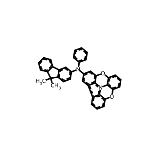 CC1(C)c2ccccc2-c2cc(N(c3ccccc3)c3cc4c5c(c3)c3cccc6c3n5-c3c(cccc3O4)O6)ccc21